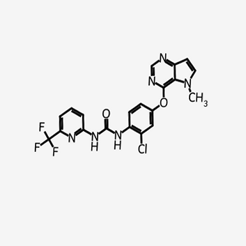 Cn1ccc2ncnc(Oc3ccc(NC(=O)Nc4cccc(C(F)(F)F)n4)c(Cl)c3)c21